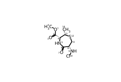 COC(=O)[C@H]1NC(=O)[C@@H](NCl)CS[C@H]1C